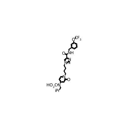 CC(C)CN(C(=O)O)c1ccn(CCCCn2cc(C(=O)NCc3cccc(OC(F)(F)F)c3)nn2)c(=O)c1